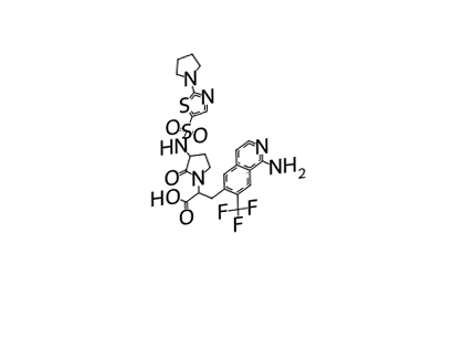 Nc1nccc2cc(CC(C(=O)O)N3CCC(NS(=O)(=O)c4cnc(N5CCCC5)s4)C3=O)c(C(F)(F)F)cc12